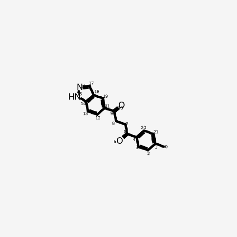 Cc1ccc(C(=O)CCC(=O)c2ccc3[nH]ncc3c2)cc1